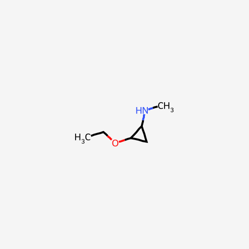 CCOC1CC1NC